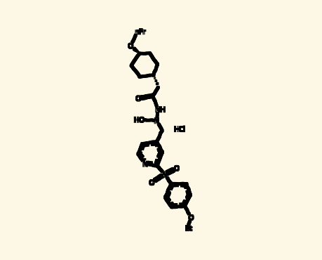 CCCO[C@H]1CC[C@H](CC(=O)NN(O)Cc2ccnc(S(=O)(=O)c3ccc(OCC)cc3)c2)CC1.Cl